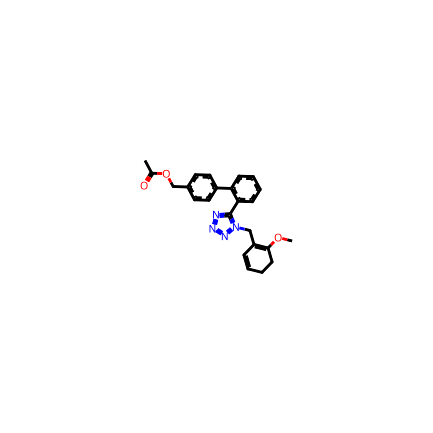 COC1=C(Cn2nnnc2-c2ccccc2-c2ccc(COC(C)=O)cc2)C=CCC1